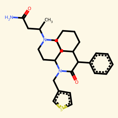 CC(CC(N)=O)N1CCC(N(Cc2ccsc2)C(=O)C(c2ccccc2)C2CCCCC2)CC1